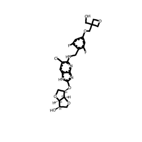 OCC1(COc2cc(F)c(CNc3nc4nc(O[C@@H]5CO[C@H]6[C@@H]5OC[C@H]6O)[nH]c4cc3Cl)c(F)c2)COC1